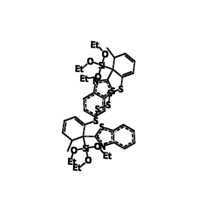 CCO[Si](OCC)(OCC)C1(c2nc3ccccc3s2)C(SSSSSC2=CC=CC(C)C2(c2nc3ccccc3s2)[Si](OCC)(OCC)OCC)=CC=CC1C